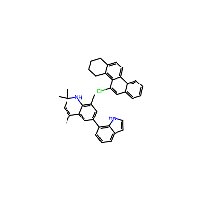 CC1=CC(C)(C)Nc2c(C)cc(-c3cccc4cc[nH]c34)cc21.Clc1cc2ccccc2c2ccc3c(c12)CCCC3